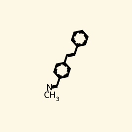 C/N=C/c1ccc(/C=C/c2ccccc2)cc1